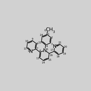 Cc1ccc(N2C(c3ccccn3)=CC=CC2c2ccccn2)cc1